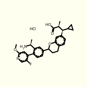 COc1cc(-c2ccc(C3CCc4ccc([C@H](C5CC5)[C@H](C)C(=O)O)cc4O3)cc2[C@H](C)N)c(F)cn1.Cl